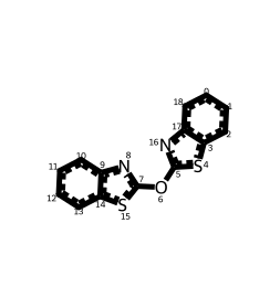 c1ccc2sc(Oc3nc4ccccc4s3)nc2c1